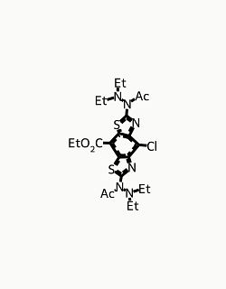 CCOC(=O)c1c2sc(N(C(C)=O)N(CC)CC)nc2c(Cl)c2nc(N(C(C)=O)N(CC)CC)sc12